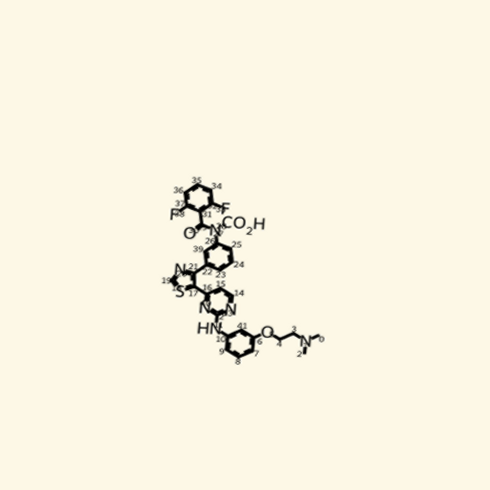 CN(C)CCOc1cccc(Nc2nccc(-c3scnc3-c3cccc(N(C(=O)O)C(=O)c4c(F)cccc4F)c3)n2)c1